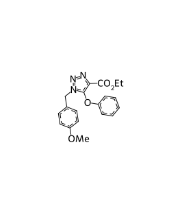 CCOC(=O)c1nnn(Cc2ccc(OC)cc2)c1Oc1ccccc1